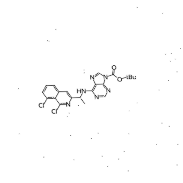 CC(Nc1ncnc2c1ncn2C(=O)OC(C)(C)C)c1cc2cccc(Cl)c2c(Cl)n1